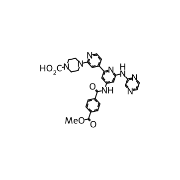 COC(=O)c1ccc(C(=O)Nc2cc(Nc3cnccn3)nc(-c3ccnc(N4CCN(C(=O)O)CC4)c3)c2)cc1